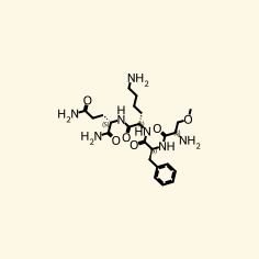 COC[C@H](N)C(=O)N[C@@H](Cc1ccccc1)C(=O)N[C@@H](CCCCN)C(=O)N[C@@H](CCC(N)=O)C(N)=O